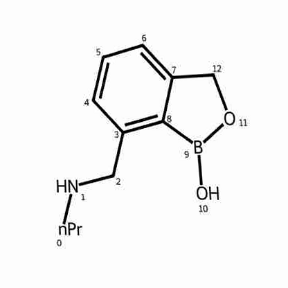 CCCNCc1cccc2c1B(O)OC2